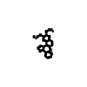 COc1nc2ccc(Cl)c(-n3cnnc3-c3cccnc3)c2nc1OC